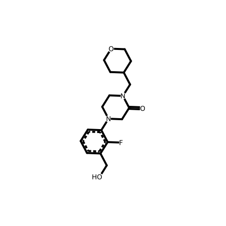 O=C1CN(c2cccc(CO)c2F)CCN1CC1CCOCC1